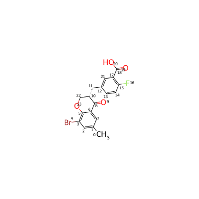 Cc1cc(Br)c2c(c1)C(=O)[C@@H](Cc1ccc(F)c(C(=O)O)c1)CO2